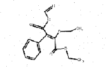 CCOC(=O)/C(OCC)=C(/C(=O)OC=O)c1ccccc1